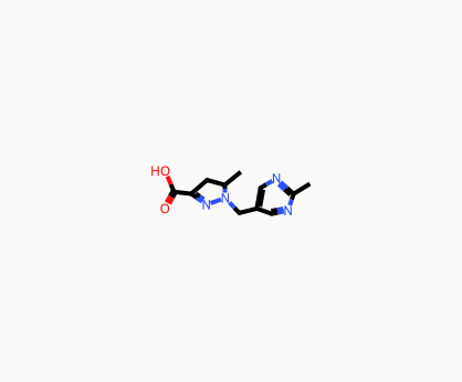 Cc1ncc(CN2N=C(C(=O)O)CC2C)cn1